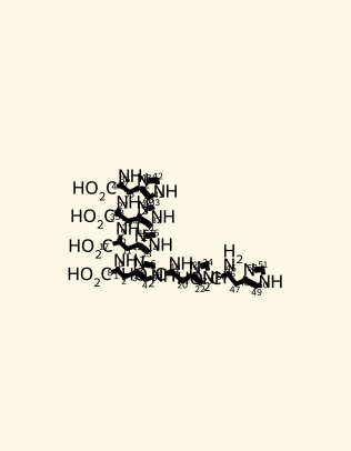 NC(Cc1c[nH]cn1)C(=O)O.NC(Cc1c[nH]cn1)C(=O)O.NC(Cc1c[nH]cn1)C(=O)O.NC(Cc1c[nH]cn1)C(=O)O.NC(Cc1c[nH]cn1)C(=O)O.NC(Cc1c[nH]cn1)C(=O)O